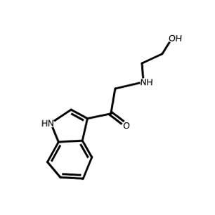 O=C(CNCCO)c1c[nH]c2ccccc12